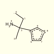 [CH2]CC(C)(N)c1ccsc1